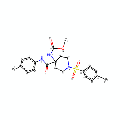 CC(C)c1ccc(NC(=O)C2(NC(=O)OC(C)(C)C)CCN(S(=O)(=O)c3ccc(C(C)C)cc3)CC2)cc1